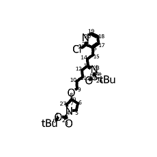 CC(C)(C)OC(=O)N1CC[C@@H](OCCCCC(CCc2cccnc2Cl)=N[S@+]([O-])C(C)(C)C)C1